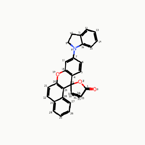 O=C1OC2(c3ccc(N4CCc5ccccc54)cc3Oc3ccc4ccccc4c32)c2ccccc21